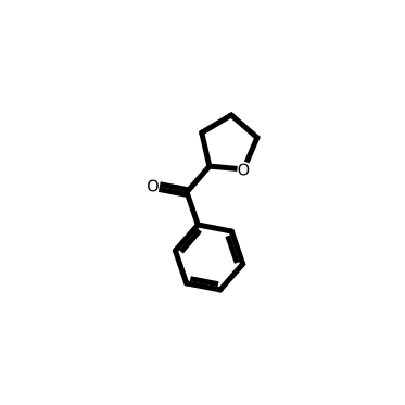 O=C(c1ccccc1)C1CCCO1